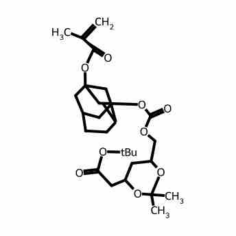 C=C(C)C(=O)OC12CC3CCC(C(C3)C1)C(OC(=O)OCC1CC(CC(=O)OC(C)(C)C)OC(C)(C)O1)C2